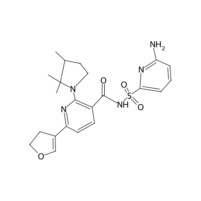 CC1CCN(c2nc(C3=COCC3)ccc2C(=O)NS(=O)(=O)c2cccc(N)n2)C1(C)C